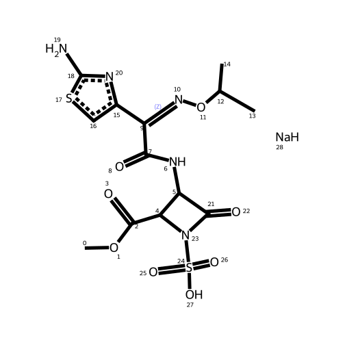 COC(=O)C1C(NC(=O)/C(=N\OC(C)C)c2csc(N)n2)C(=O)N1S(=O)(=O)O.[NaH]